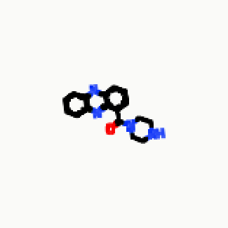 O=C(c1cccc2nc3ccccc3nc12)N1CCNCC1